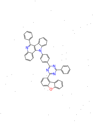 c1ccc(-c2nc(-c3ccc(-n4c5ccccc5c5c(-c6ccccc6)nc6ccccc6c54)cc3)nc(-c3cccc4oc5ccccc5c34)n2)cc1